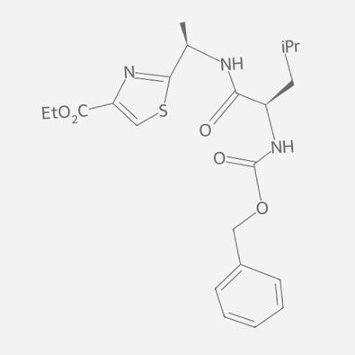 CCOC(=O)c1csc([C@@H](C)NC(=O)[C@@H](CC(C)C)NC(=O)OCc2ccccc2)n1